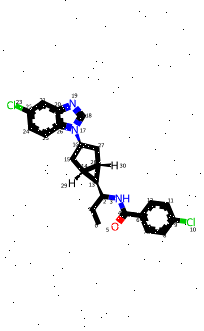 CCC(NC(=O)c1ccc(Cl)cc1)[C@H]1[C@@H]2C[C@@H](n3cnc4cc(Cl)ccc43)C[C@@H]21